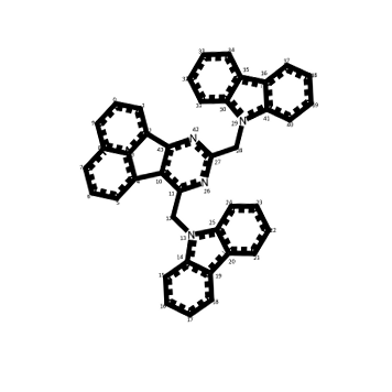 c1cc2c3c(cccc3c1)-c1c(Cn3c4ccccc4c4ccccc43)nc(Cn3c4ccccc4c4ccccc43)nc1-2